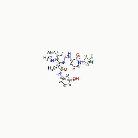 C=NN1C(NC)=CC(Nc2cccn(C3CC(F)(F)C3)c2=O)=N/C1=C(/C)C(=O)N[C@@H]1CCC[C@@H](O)C1